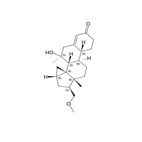 COC[C@H]1C[C@@H]2C[C@]23[C@H]2[C@H](CC[C@]13C)[C@H]1CCC(=O)C=C1C[C@]2(C)O